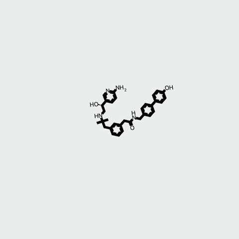 CC(C)(Cc1cccc(CC(=O)NCc2ccc(-c3ccc(O)cc3)cc2)c1)NC[C@H](O)c1ccc(N)nc1